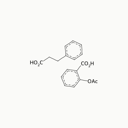 CC(=O)Oc1ccccc1C(=O)O.O=C(O)CCc1ccccc1